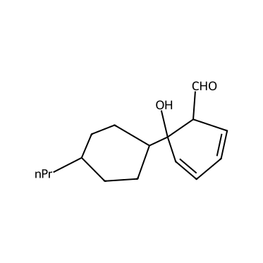 CCCC1CCC(C2(O)C=CC=CC2C=O)CC1